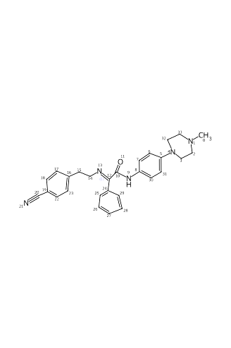 CN1CCN(c2ccc(NC(=O)/C(=N/CCc3ccc(C#N)cc3)c3ccccc3)cc2)CC1